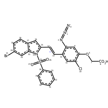 [N-]=[N+]=Nc1cc(OCC(=O)O)c(Cl)cc1/C=C/c1cc2ccc(Br)cc2n1S(=O)(=O)c1ccccc1